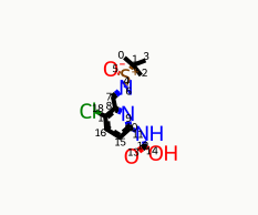 CC(C)(C)[S+]([O-])N=Cc1nc(NC(=O)O)ccc1Cl